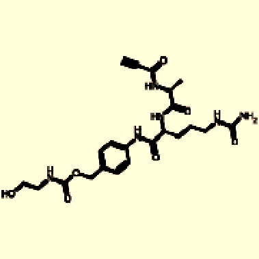 C#CC(=O)N[C@@H](C)C(=O)N[C@@H](CCCNC(N)=O)C(=O)Nc1ccc(COC(=O)NCCO)cc1